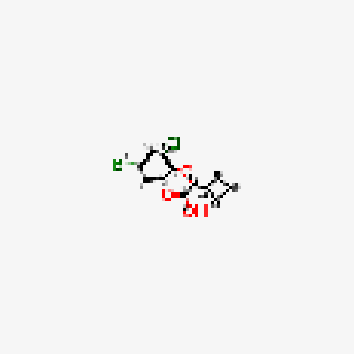 O=C(O)C(Oc1ccc(Br)cc1Cl)C1CCC1